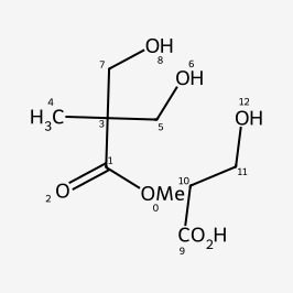 COC(=O)C(C)(CO)CO.O=C(O)CCO